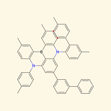 Cc1ccc(-c2cc(C)ccc2N2c3ccc(C)cc3B3c4cc(C)ccc4N(c4ccc(C)cc4)c4cc(-c5cccc(-c6ccccc6)c5)cc2c43)cc1